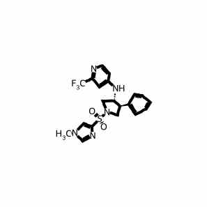 Cn1cnc(S(=O)(=O)N2C[C@H](Nc3ccnc(C(F)(F)F)c3)[C@@H](c3ccccc3)C2)c1